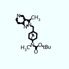 Cc1c2cnccc2nn1CC12CCC(N(C)C(=O)OC(C)(C)C)(CC1)CC2